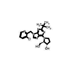 CC(C)(C)c1nc(N2CC[C@H](O)[C@H]2CO)c2ncn(Cc3ncccc3Cl)c2n1